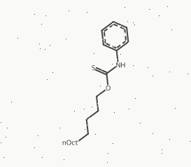 CCCCCCCCCCCCOC(=S)Nc1ccccc1